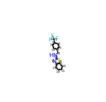 FC(F)(F)c1ccc(CNc2nc3ccccc3s2)cc1